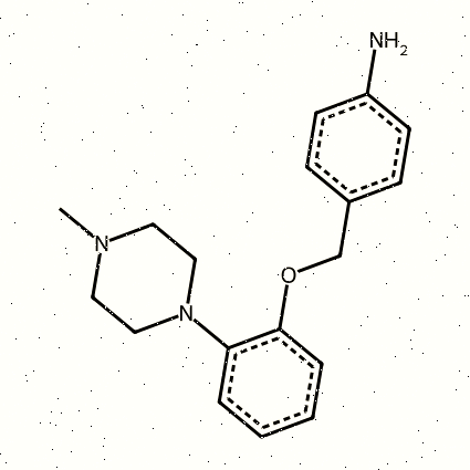 CN1CCN(c2ccccc2OCc2ccc(N)cc2)CC1